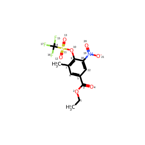 CCOC(=O)c1cc(C)c(OS(=O)(=O)C(F)(F)F)c([N+](=O)[O-])c1